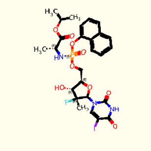 CC(C)OC(=O)[C@@H](C)N[P@](=O)(OC[C@H]1OC(n2cc(I)c(=O)[nH]c2=O)[C@](C)(F)[C@@H]1O)Oc1cccc2ccccc12